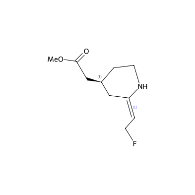 COC(=O)C[C@H]1CCN/C(=C/CF)C1